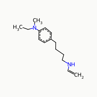 C=CNCCCCc1ccc(N(C)CC)cc1